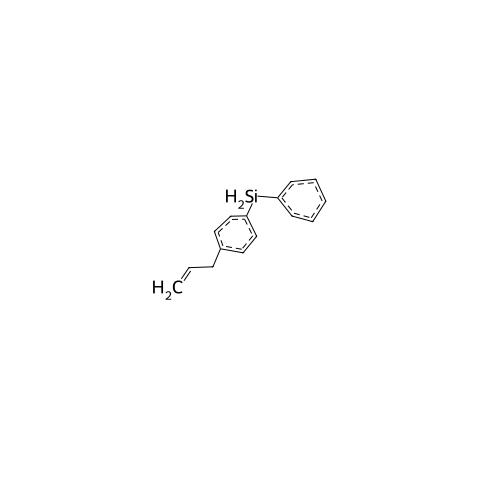 C=CCc1ccc([SiH2]c2ccccc2)cc1